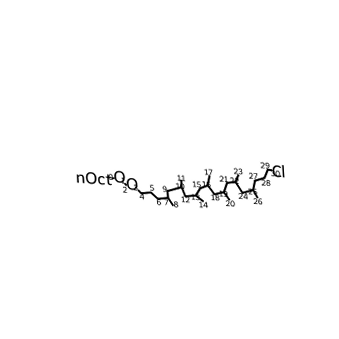 CCCCCCCCOCOCCCC(C)CC(C)CC(C)CC(C)CC(C)CC(C)CC(C)CCCCl